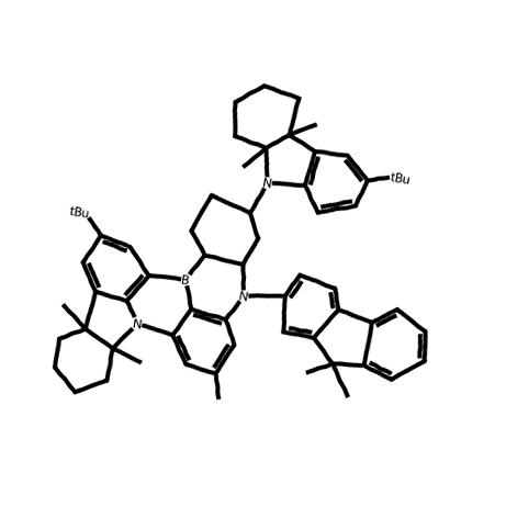 Cc1cc2c3c(c1)N1c4c(cc(C(C)(C)C)cc4C4(C)CCCCC14C)B3C1CCC(N3c4ccc(C(C)(C)C)cc4C4(C)CCCCC34C)CC1N2c1ccc2c(c1)C(C)(C)c1ccccc1-2